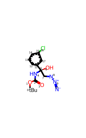 CC(C)(C)OC(=O)N[C@@](O)(CN=[N+]=[N-])c1cccc(Cl)c1